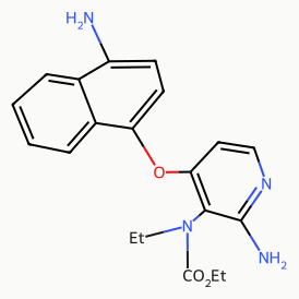 CCOC(=O)N(CC)c1c(Oc2ccc(N)c3ccccc23)ccnc1N